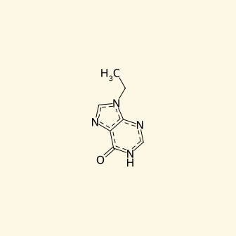 CCn1cnc2c(=O)[nH]cnc21